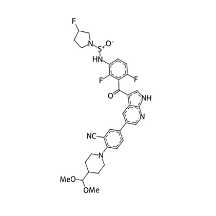 COC(OC)C1CCN(c2ccc(-c3cnc4[nH]cc(C(=O)c5c(F)ccc(N[S+]([O-])N6CCC(F)C6)c5F)c4c3)cc2C#N)CC1